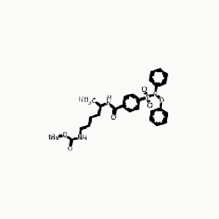 CC(C)(C)OC(=O)NCCCCC(NC(=O)c1ccc(S(=O)(=O)N(Oc2ccccc2)c2ccccc2)cc1)C(=O)O